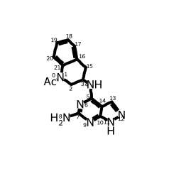 CC(=O)N1CC(Nc2nc(N)nc3[nH]ncc23)Cc2ccccc21